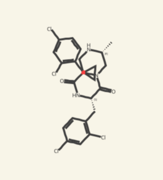 C[C@@H]1CN(C(=O)[C@H](Cc2ccc(Cl)cc2Cl)NC(=O)C2(c3ccc(Cl)cc3Cl)CC2)CCN1